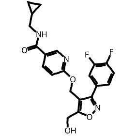 O=C(NCC1CC1)c1ccc(OCc2c(-c3ccc(F)c(F)c3)noc2CO)nc1